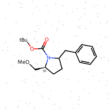 COC[C@@H]1CCC(Cc2ccccc2)N1C(=O)OC(C)(C)C